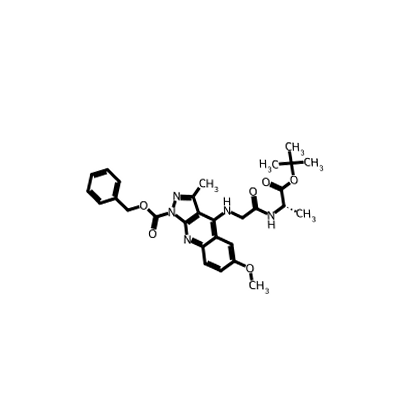 COc1ccc2nc3c(c(C)nn3C(=O)OCc3ccccc3)c(NCC(=O)N[C@@H](C)C(=O)OC(C)(C)C)c2c1